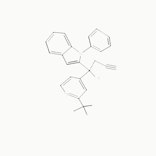 C#CCC(O)(c1ccnc(C(F)(F)F)c1)c1cc2ccccc2n1-c1ccccc1